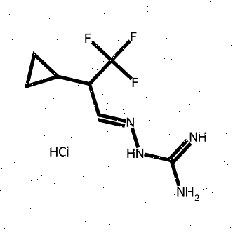 Cl.N=C(N)NN=CC(C1CC1)C(F)(F)F